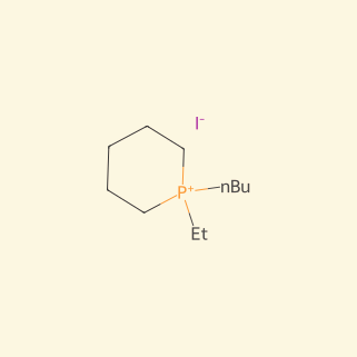 CCCC[P+]1(CC)CCCCC1.[I-]